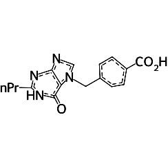 CCCc1nc2ncn(Cc3ccc(C(=O)O)cc3)c2c(=O)[nH]1